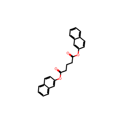 O=C(CCCC(=O)Oc1ccc2ccccc2c1)Oc1ccc2ccccc2c1